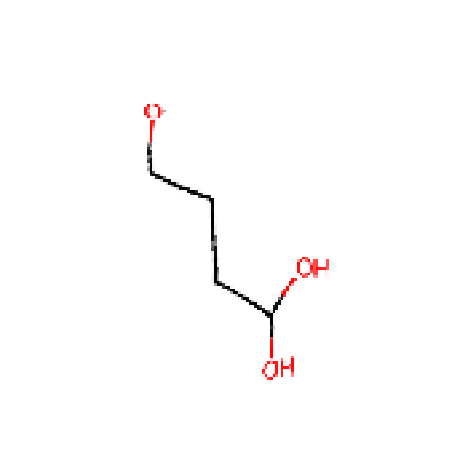 [O]CCCC(O)O